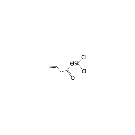 C=CCC(=O)O[SiH](Cl)Cl